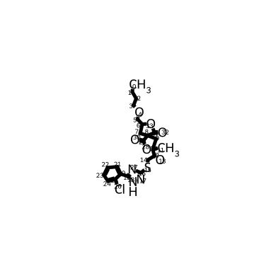 CCCCOCC1CC2(CC(C)(C(=O)CSc3n[nH]c(-c4ccccc4Cl)n3)OC2=O)C(=O)O1